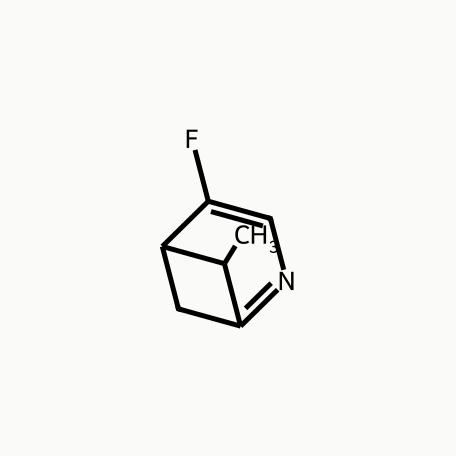 CC1C2=NC=C(F)C1C2